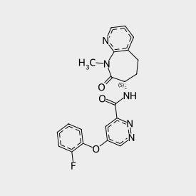 CN1C(=O)[C@@H](NC(=O)c2cc(Oc3ccccc3F)cnn2)CCc2cccnc21